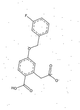 O=C(O)c1ccc(OCc2cccc(F)c2)cc1C[N+](=O)[O-]